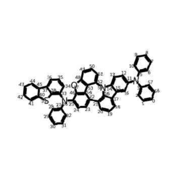 c1ccc(N(c2ccccc2)c2ccc3c(c2)c2cccc4c5ccc(N(c6ccccc6)c6cccc7c6sc6ccccc67)c6oc7cccc(c7c65)n3c42)cc1